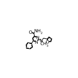 CN(Cc1ccco1)c1nc(C(N)=O)cc(-c2ccccc2)n1